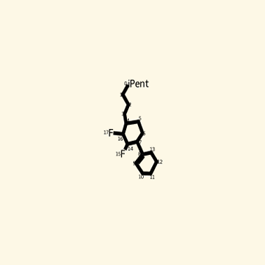 CCCC(C)CCCC1CCC(C2=CCCCC2)C(F)C1F